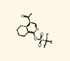 CC(=O)c1cnc(OS(=O)(=O)C(F)(F)F)c2c1CCCC2